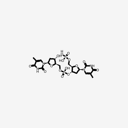 Cc1cn([C@H]2C[C@H](OP(=O)(O)OC[C@H]3O[C@@H](n4cc(C)c(=O)[nH]c4=O)C[C@@H]3O)[C@@H](COP(=O)(O)O)O2)c(=O)[nH]c1=O